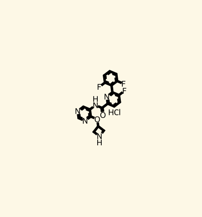 Cl.O=C(Nc1cncnc1OC1CNC1)c1ccc(F)c(-c2c(F)cccc2F)n1